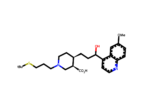 COc1ccc2nccc(C(O)CC[C@@H]3CCN(CCCSC(C)(C)C)C[C@@H]3C(=O)O)c2c1